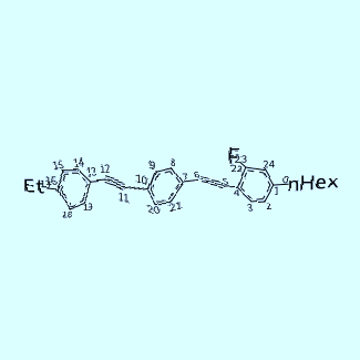 CCCCCCc1ccc(C#Cc2ccc(C#Cc3ccc(CC)cc3)cc2)c(F)c1